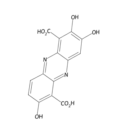 O=C(O)c1c(O)ccc2nc3c(C(=O)O)c(O)c(O)cc3nc12